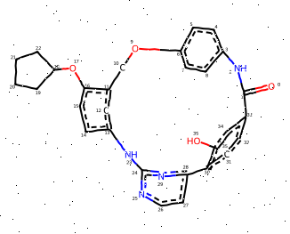 O=C1Nc2ccc(cc2)OCc2cc(ccc2OC2CCCC2)Nc2nccc(n2)-c2ccc1cc2O